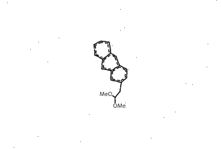 COC(Cc1ccc2cc3ccccc3cc2c1)OC